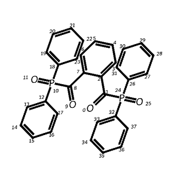 O=C(c1ccccc1C(=O)P(=O)(c1ccccc1)c1ccccc1)P(=O)(c1ccccc1)c1ccccc1